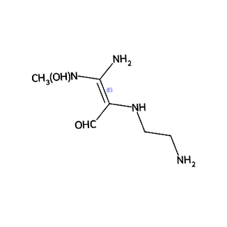 CN(O)/C(N)=C(\C=O)NCCN